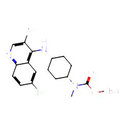 CC(=O)c1cnc2ccc(Br)cc2c1N[C@H]1CC[C@H](N(C)C(=O)OC(C)(C)C)CC1